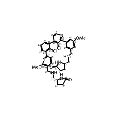 COc1cc(CNC[C@H]2CCC(=O)N2)cc(-c2nccc(-c3cccc(-c4ccc(CNC[C@H]5CCC(=O)N5)c(OC)n4)c3Cl)c2Cl)c1